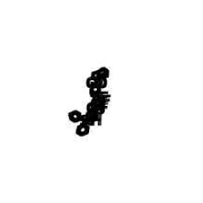 O=S(=O)(Oc1cccc([SiH](c2ccccc2)c2ccccc2)c1)C(F)(F)C(F)(F)C1CC2CC1C1OC3(OC21)C1CC2CC(C1)CC3C2